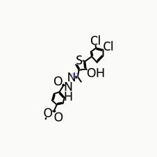 COC(=O)c1ccc(C(=O)N/N=C(\C)c2csc(-c3ccc(Cl)c(Cl)c3)c2O)cc1